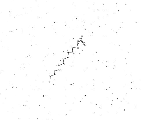 [CH2]CCCCCCCCCCCCOC(C)=O